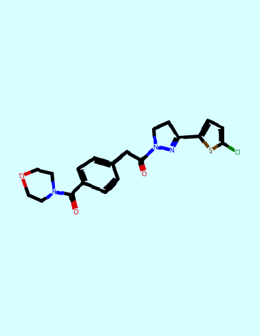 O=C(c1ccc(CC(=O)N2CCC(c3ccc(Cl)s3)=N2)cc1)N1CCOCC1